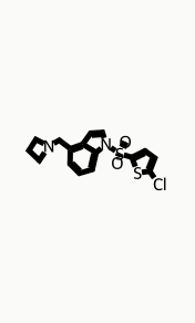 O=S(=O)(c1ccc(Cl)s1)n1ccc2c(CN3CCC3)cccc21